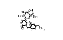 CCc1ccc(Cc2cc([C@@H]3O[C@H](CO)[C@@H](O)[C@H](O)[C@H]3O)ccc2Cl)c(F)c1